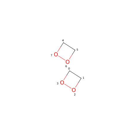 C1COO1.C1COO1